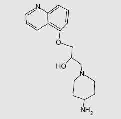 NC1CCN(CC(O)COc2cccc3ncccc23)CC1